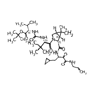 C=CCNC(=O)C(=O)C(CC1CC1)NC(=O)[C@@H]1[C@@H]2[C@H](CN1C(=O)[C@@H](NC(=O)N[C@H](C(=O)OC(C)(C)C)C(C)C)C(C)(C)C)C2(C)C